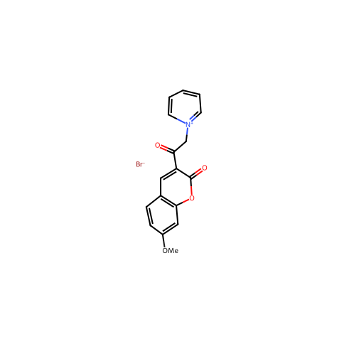 COc1ccc2cc(C(=O)C[n+]3ccccc3)c(=O)oc2c1.[Br-]